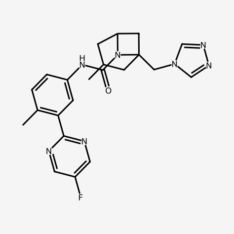 Cc1ccc(NC(=O)N2C3CC(C)CC2(Cn2cnnc2)C3)cc1-c1ncc(F)cn1